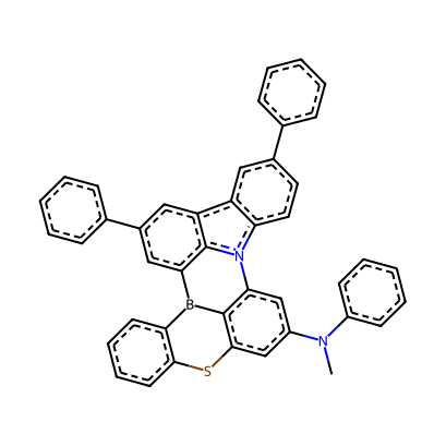 CN(c1ccccc1)c1cc2c3c(c1)-n1c4ccc(-c5ccccc5)cc4c4cc(-c5ccccc5)cc(c41)B3c1ccccc1S2